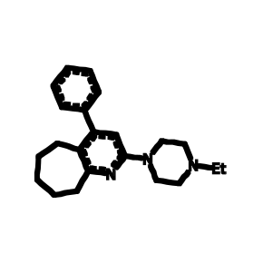 CCN1CCN(c2cc(-c3ccccc3)c3c(n2)CCCCC3)CC1